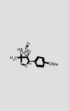 COc1ccc([C@H]2SSC(C)(C)[C@H]2O[PH](=O)S)cc1